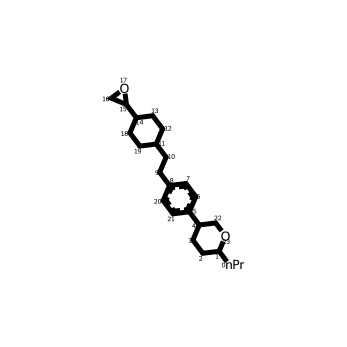 CCCC1CCC(c2ccc(CCC3CCC(C4CO4)CC3)cc2)CO1